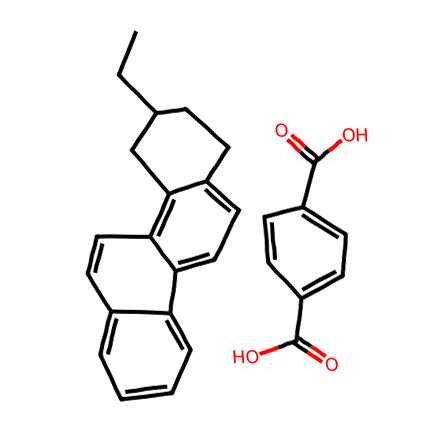 CCC1CCc2ccc3c(ccc4ccccc43)c2C1.O=C(O)c1ccc(C(=O)O)cc1